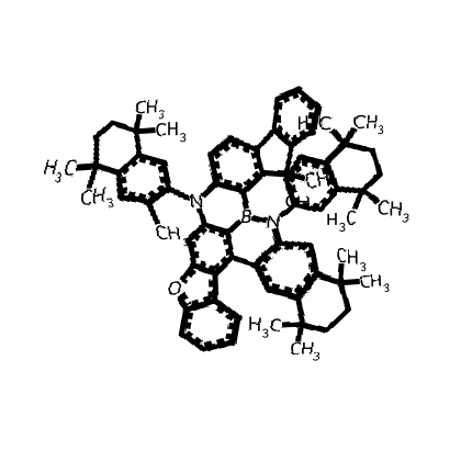 Cc1cc2c(cc1N1c3ccc4c(c3B3c5c1cc1oc6ccccc6c1c5-c1cc5c(cc1N3c1ccc3c(c1)C(C)(C)CCC3(C)C)C(C)(C)CCC5(C)C)C(C)(C)c1ccccc1-4)C(C)(C)CCC2(C)C